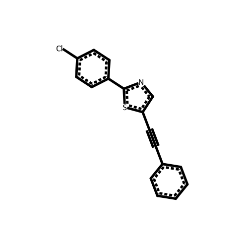 Clc1ccc(-c2ncc(C#Cc3ccccc3)s2)cc1